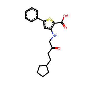 O=C(CCC1CCCC1)CNc1cc(-c2ccccc2)sc1C(=O)O